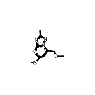 COCc1cc(S)nc2nc(C)nn12